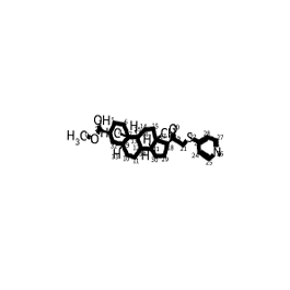 COC(O)[C@H]1CC[C@@]2(C)[C@@H](CC[C@@H]3[C@@H]2CC[C@]2(C)[C@@H](C(=O)CSc4ccncc4)CC[C@@H]32)C1